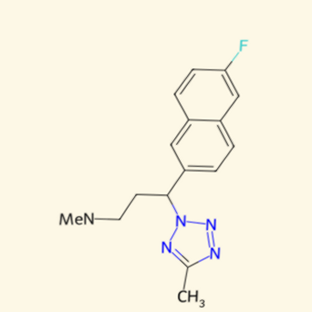 CNCCC(c1ccc2cc(F)ccc2c1)n1nnc(C)n1